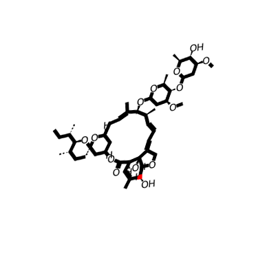 CC[C@H](C)[C@H]1O[C@]2(CC[C@@H]1C)C[C@@H]1C[C@@H](C/C=C(\C)[C@@H](OC3C[C@H](OC)[C@@H](OC4C[C@H](OC)[C@@H](O)[C@H](C)O4)[C@H](C)O3)[C@@H](C)/C=C/C=C3\CO[C@@H]4[C@H](O)C(C)=C[C@@H](C(=O)O1)[C@]34O)O2